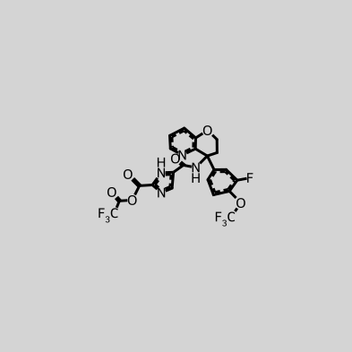 O=C(NC1(c2ccc(OC(F)(F)F)c(F)c2)CCOc2cccnc21)c1cnc(C(=O)OC(=O)C(F)(F)F)[nH]1